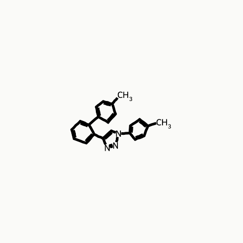 Cc1ccc(-c2ccccc2-c2cn(-c3ccc(C)cc3)nn2)cc1